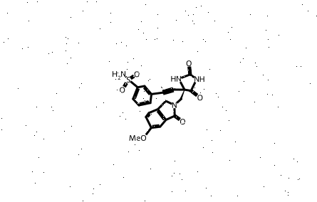 COc1ccc2c(c1)C(=O)N(C[C@@]1(C#Cc3cccc(S(N)(=O)=O)c3)NC(=O)NC1=O)C2